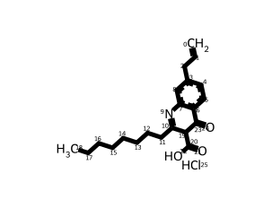 C=CCc1ccc2c(c1)N=C(CCCCCCCC)C(C(=O)O)C2=O.Cl